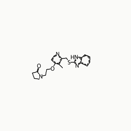 Cc1c(OCCN2CCCC2=O)ccnc1CSc1nc2ccccc2[nH]1